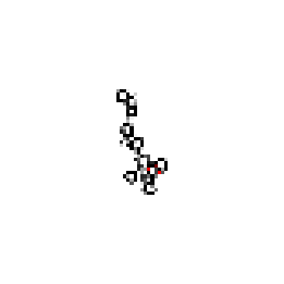 c1ccc(-c2nc(-c3ccc4c(c3)oc3ccc(-c5ccc6sc7ccccc7c6c5)cc34)nc(-c3ccccc3-n3c4ccccc4c4ccccc43)n2)cc1